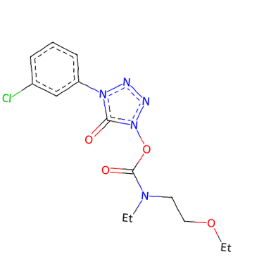 CCOCCN(CC)C(=O)On1nnn(-c2cccc(Cl)c2)c1=O